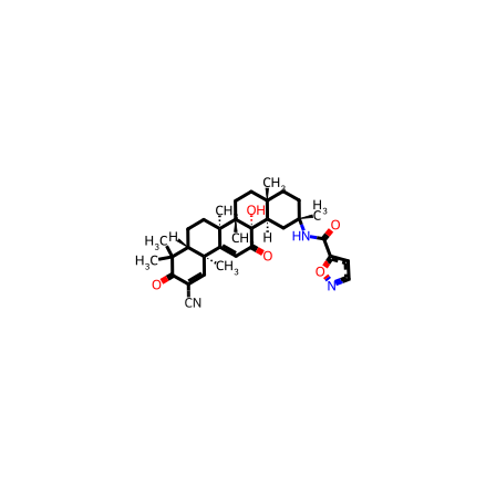 CC1(C)C(=O)C(C#N)=C[C@]2(C)C3=CC(=O)[C@]4(O)[C@@H]5C[C@@](C)(NC(=O)c6ccno6)CC[C@@]5(C)CC[C@@]4(C)[C@]3(C)CC[C@@H]12